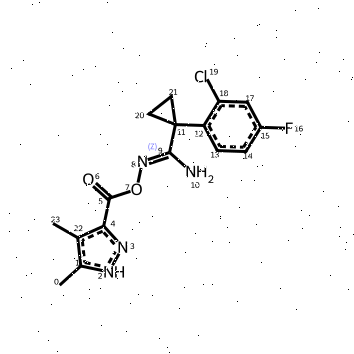 Cc1[nH]nc(C(=O)O/N=C(\N)C2(c3ccc(F)cc3Cl)CC2)c1C